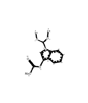 CCOC(OCC)n1cc(OC(=O)OC)c2ccccc21